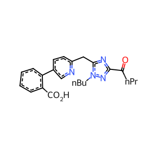 CCCCn1nc(C(=O)CCC)nc1Cc1ccc(-c2ccccc2C(=O)O)cn1